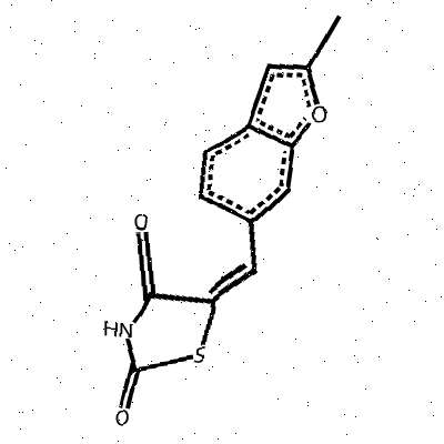 Cc1cc2ccc(C=C3SC(=O)NC3=O)cc2o1